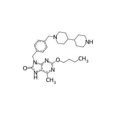 CCCCOc1nc(C)c2[nH]c(=O)n(Cc3ccc(CN4CCC(C5CCNCC5)CC4)cc3)c2n1